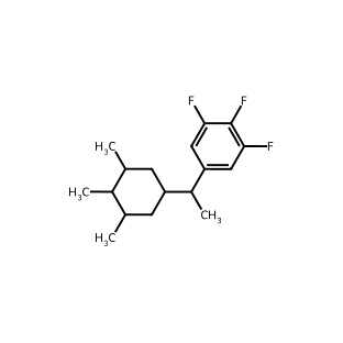 CC1CC(C(C)c2cc(F)c(F)c(F)c2)CC(C)C1C